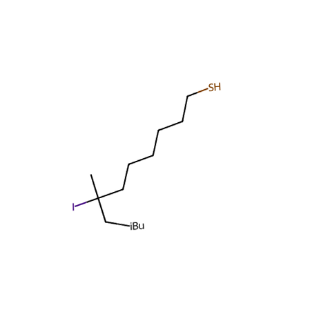 CCC(C)CC(C)(I)CCCCCCS